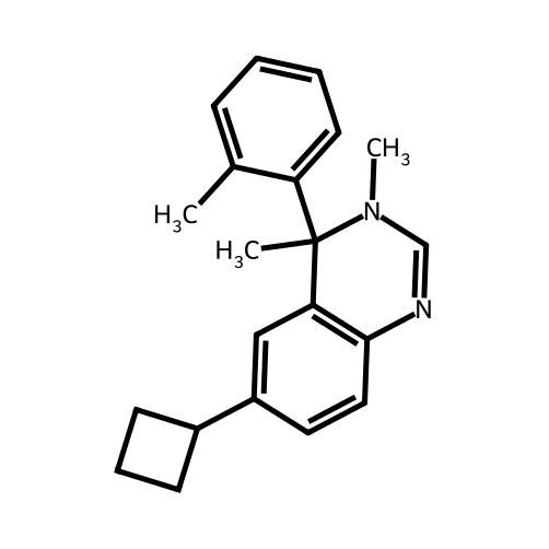 Cc1ccccc1C1(C)c2cc(C3CCC3)ccc2N=CN1C